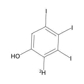 [2H]c1c(O)cc(I)c(I)c1I